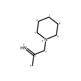 CC(=N)CN1CCCCC1